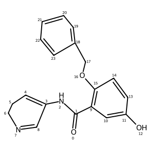 O=C(NC1=CCCN=C1)c1cc(O)ccc1OCc1ccccc1